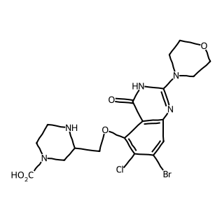 O=C(O)N1CCNC(COc2c(Cl)c(Br)cc3nc(N4CCOCC4)[nH]c(=O)c23)C1